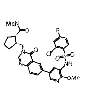 CNC(=O)[C@@H]1CCC[C@H]1Cn1cnc2ccc(-c3cnc(OC)c(NS(=O)(=O)c4ccc(F)cc4Cl)c3)cc2c1=O